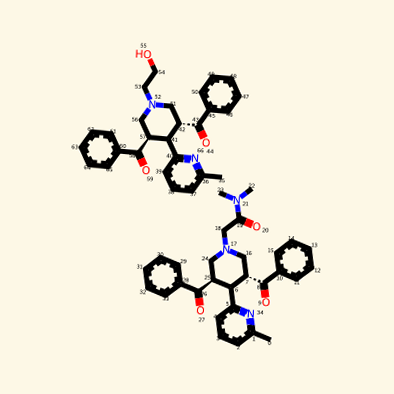 Cc1cccc(C2[C@@H](C(=O)c3ccccc3)CN(CC(=O)N(C)C)C[C@@H]2C(=O)c2ccccc2)n1.Cc1cccc(C2[C@@H](C(=O)c3ccccc3)CN(CCO)C[C@@H]2C(=O)c2ccccc2)n1